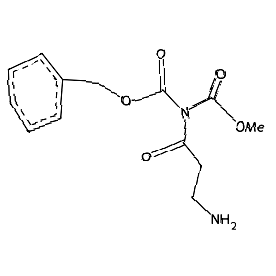 COC(=O)N(C(=O)CCN)C(=O)OCc1ccccc1